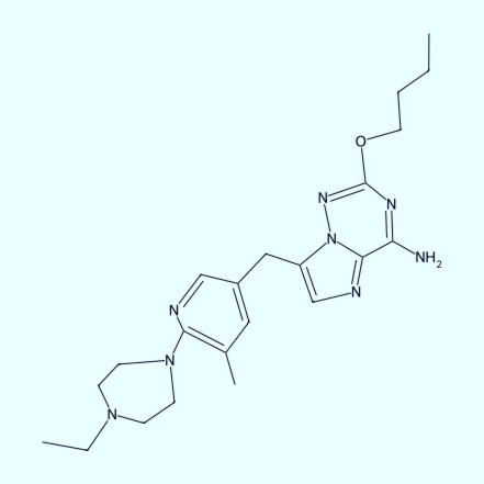 CCCCOc1nc(N)c2ncc(Cc3cnc(N4CCN(CC)CC4)c(C)c3)n2n1